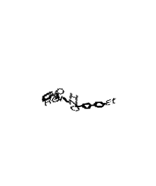 CCc1ccc(-c2ccc(C(=O)NCCN(O)C(=O)N3CCCC3)cc2)cc1